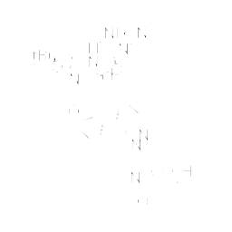 CN1CCN(C(=O)[C@H](CN)NC(=O)[C@@H]2C[C@H](Oc3cccc(-c4cccc5nn(CCN6CCOC[C@H]6C(=O)O)cc45)c3)CN2C(=O)OC(C)(C)C)CC1